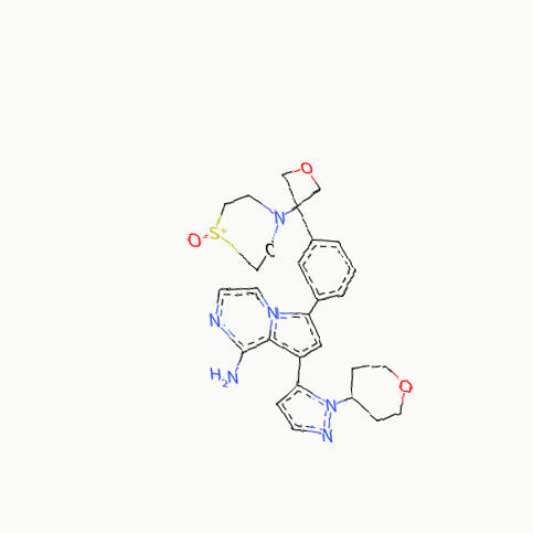 Nc1nccn2c(-c3cccc(C4(N5CC[S+]([O-])CC5)COC4)c3)cc(-c3ccnn3C3CCOCC3)c12